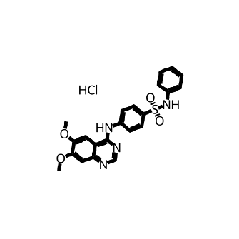 COc1cc2ncnc(Nc3ccc(S(=O)(=O)Nc4ccccc4)cc3)c2cc1OC.Cl